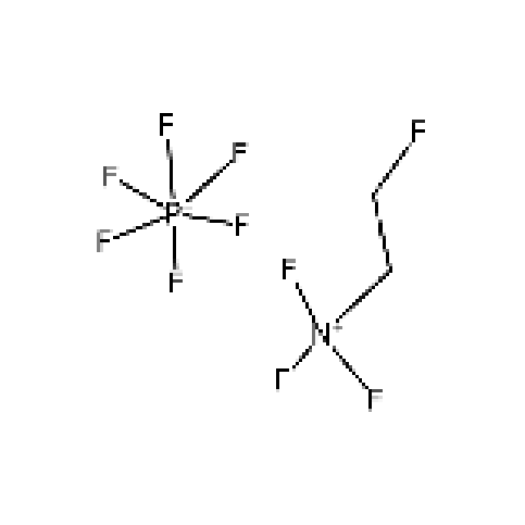 FCC[N+](F)(F)F.F[P-](F)(F)(F)(F)F